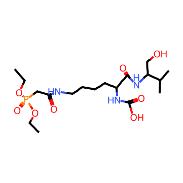 CCOP(=O)(CC(=O)NCCCCC(NC(=O)O)C(=O)NC(CO)C(C)C)OCC